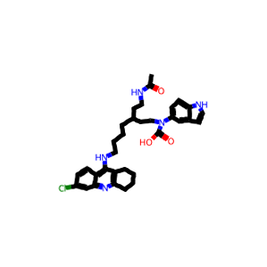 CC(=O)NCCC(CCCCNc1c2c(nc3cc(Cl)ccc13)CCCC2)CCN(C(=O)O)c1ccc2[nH]ccc2c1